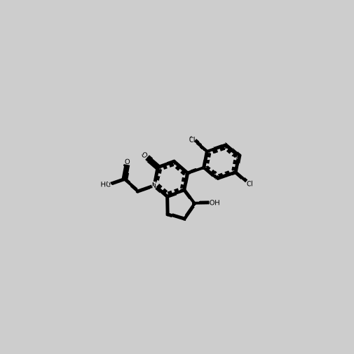 O=C(O)Cn1c2c(c(-c3cc(Cl)ccc3Cl)cc1=O)C(O)CC2